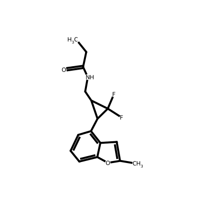 CCC(=O)NCC1C(c2cccc3oc(C)cc23)C1(F)F